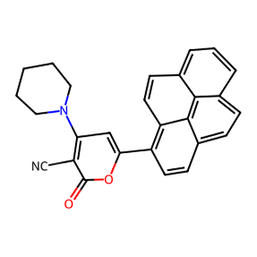 N#Cc1c(N2CCCCC2)cc(-c2ccc3ccc4cccc5ccc2c3c45)oc1=O